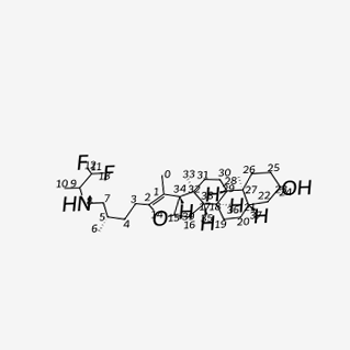 CC1=C(CC[C@H](C)CNC(C)C(F)F)OC2C[C@H]3[C@@H]4CC[C@H]5C[C@@H](O)CC[C@]5(C)[C@H]4CC[C@]3(C)[C@@H]12